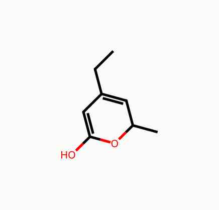 CCC1=CC(C)OC(O)=C1